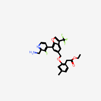 CCOC(=O)Cc1ccc(C)cc1OCc1cc(-c2ccnc(CN)c2F)c2occ(C(F)(F)F)c2c1